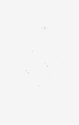 COc1ccn2c(=O)c(C=O)c(C(F)(F)F)nc2c1